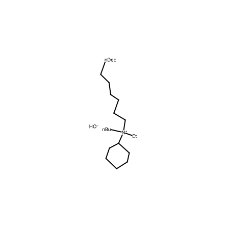 CCCCCCCCCCCCCCCC[N+](CC)(CCCC)C1CCCCC1.[OH-]